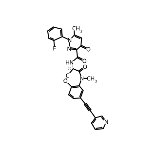 Cc1cc(=O)c(C(=O)N[C@H]2COc3ccc(C#Cc4cccnc4)cc3N(C)C2=O)nn1-c1ccccc1F